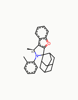 Cc1ccccc1N1[C@@H](C)c2c(oc3ccccc23)C12C1CC3CC(C1)CC2C3